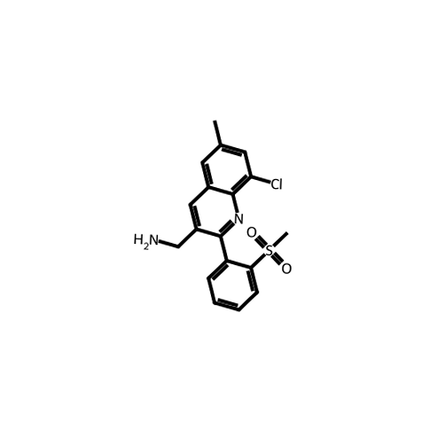 Cc1cc(Cl)c2nc(-c3ccccc3S(C)(=O)=O)c(CN)cc2c1